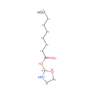 CCCCCCCCCCCCCCC(=O)OC1NCCO1